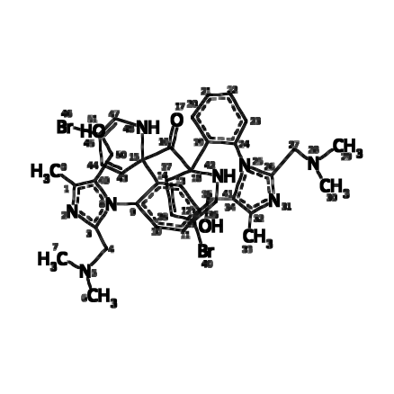 Cc1nc(CN(C)C)n(-c2ccccc2C2(C(=O)C3(c4ccccc4-n4c(CN(C)C)nc(C)c4CO)C=CC(Br)=CN3)C=CC(Br)=CN2)c1CO